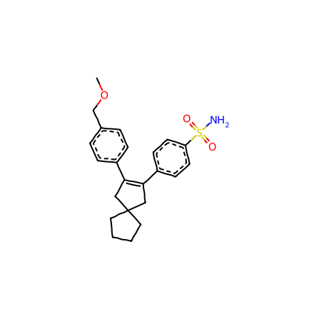 COCc1ccc(C2=C(c3ccc(S(N)(=O)=O)cc3)CC3(CCCC3)C2)cc1